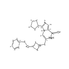 O=c1[nH]c(CN2CC(OCc3ccccc3)C2)cn2c(C3CCCC3)ncc12